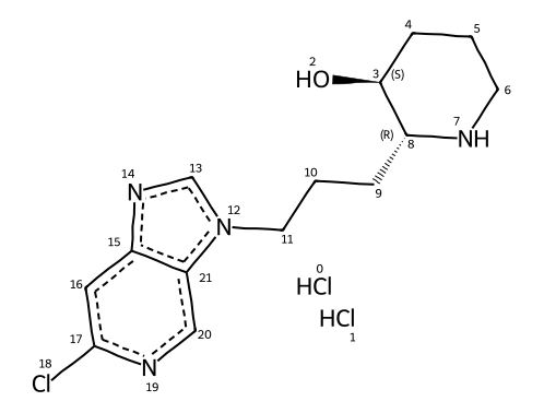 Cl.Cl.O[C@H]1CCCN[C@@H]1CCCn1cnc2cc(Cl)ncc21